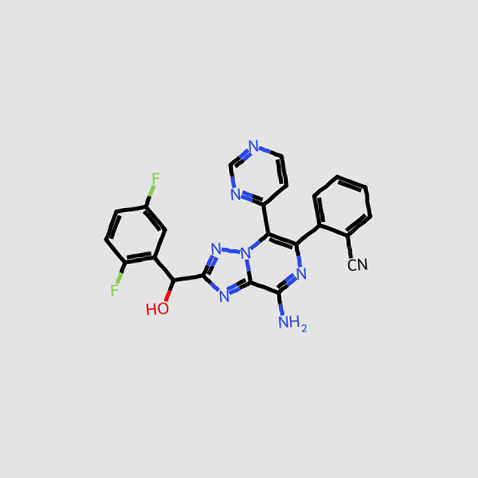 N#Cc1ccccc1-c1nc(N)c2nc(C(O)c3cc(F)ccc3F)nn2c1-c1ccncn1